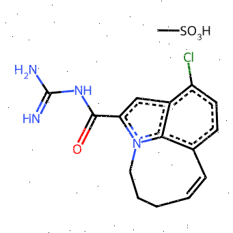 CS(=O)(=O)O.N=C(N)NC(=O)c1cc2c(Cl)ccc3c2n1CCC/C=C\3